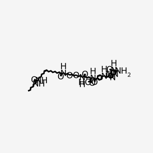 CCCCCNC(=O)NCCCC/C=C\CCCCCCC(=O)NCCOCCOCCNC(=O)CCC(NC(=O)c1ccc(NCc2cnc3nc(N)[nH]c(=O)c3n2)cc1)C(=O)O